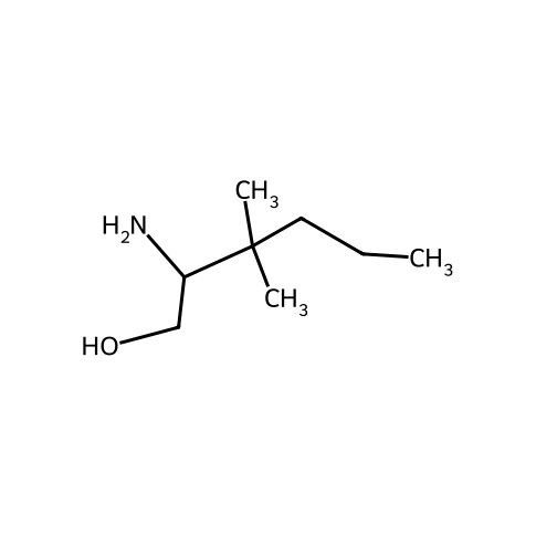 CCCC(C)(C)C(N)CO